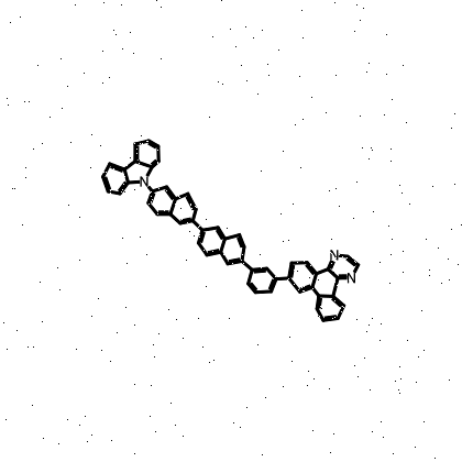 c1cc(-c2ccc3cc(-c4ccc5cc(-n6c7ccccc7c7ccccc76)ccc5c4)ccc3c2)cc(-c2ccc3c(c2)c2ccccc2c2nccnc32)c1